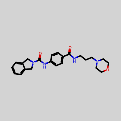 O=C(NCCCN1CCOCC1)c1ccc(NC(=O)N2Cc3ccccc3C2)cc1